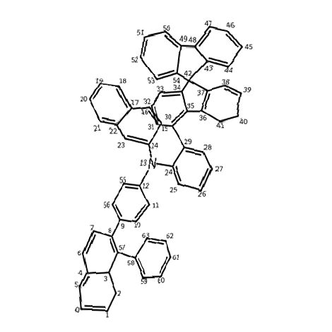 C1=CCC2C(=C1)C=CC(c1ccc(N(c3ccc4ccccc4c3)c3ccccc3-c3cccc4c3C3=C(C=CCC3)C43c4ccccc4-c4ccccc43)cc1)=C2c1ccccc1